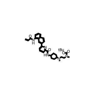 C=CC(=O)Nc1cccc2ccc(-c3cccc(C(=O)NC4CCC(N(C)CCN(C)C(=O)OC(C)(C)C)CC4)n3)cc12